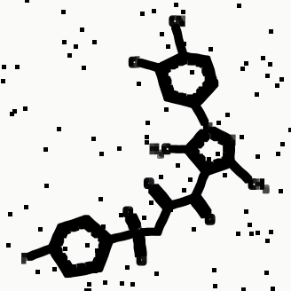 Cc1nn(-c2ccc(C#N)c(Cl)c2)c(C)c1C(=O)C(=O)CS(=O)(=O)c1ccc(F)cc1